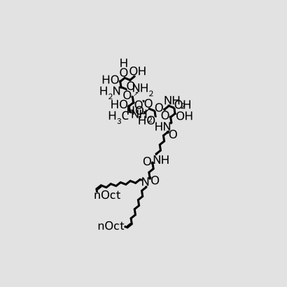 CCCCCCCC/C=C\CCCCCCCCN(CCCCCCCC/C=C\CCCCCCCC)C(=O)CCC(=O)NCCCCCC(=O)NCC1O[C@H](OC(CO)[C@@H](CO)OCOC(C(O)[C@@H](C)N)[C@@H](CN)O[C@H]2OC(CO)[C@@H](O)C(O)C2N)C(N)C(O)[C@@H]1O